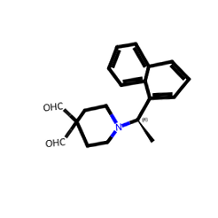 C[C@H](c1cccc2ccccc12)N1CCC(C=O)(C=O)CC1